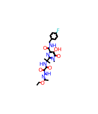 CCO/C(C)=N/NC(=O)C(=O)NC(C)(C)c1nc(C(=O)NCc2ccc(F)cc2)c(O)c(=O)n1C